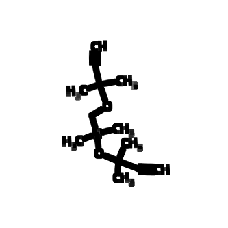 C#CC(C)(C)OC[Si](C)(C)OC(C)(C)C#C